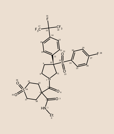 CCNC(=O)C1(C(=O)N2CC[C@](c3ccc(C(F)(C(F)(F)F)C(F)(F)F)cc3)(S(=O)(=O)c3ccc(F)cc3)C2)CCS(=O)(=O)CC1